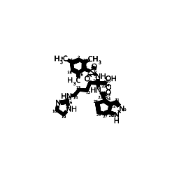 Cc1cc(C)c(S(=O)(=O)NC(CCCCNC2=NCCN2)(NC(=O)c2cccc3[nH]ncc23)C(=O)O)c(C)c1